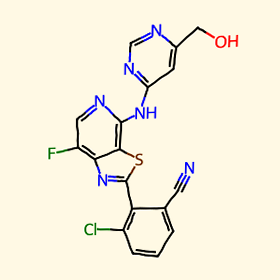 N#Cc1cccc(Cl)c1-c1nc2c(F)cnc(Nc3cc(CO)ncn3)c2s1